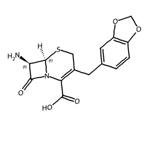 N[C@@H]1C(=O)N2C(C(=O)O)=C(Cc3ccc4c(c3)OCO4)CS[C@H]12